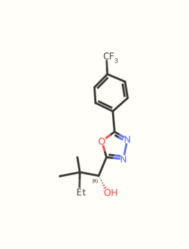 CCC(C)(C)[C@@H](O)c1nnc(-c2ccc(C(F)(F)F)cc2)o1